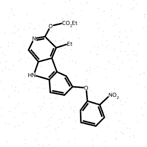 CCOC(=O)Oc1ncc2[nH]c3ccc(Oc4ccccc4[N+](=O)[O-])cc3c2c1CC